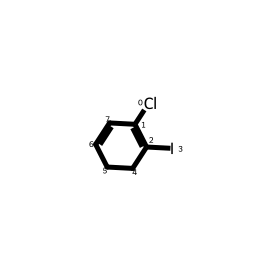 ClC1=C(I)CCC=C1